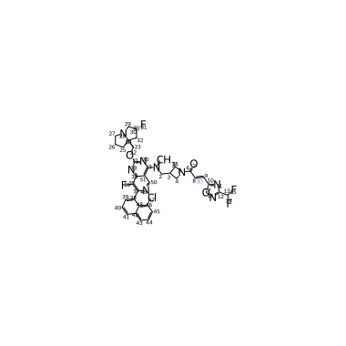 CN(CC1CN(C(=O)/C=C/c2nc(C(F)F)no2)C1)c1nc(OC[C@@]23CCCN2C[C@H](F)C3)nc2c(F)c(-c3cccc4cccc(Cl)c34)ncc12